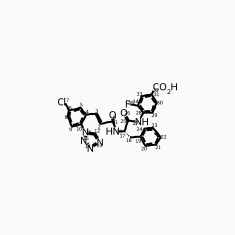 O=C(/C=C/c1cc(Cl)ccc1-n1cnnn1)N[C@@H](Cc1ccccc1)C(=O)Nc1ccc(C(=O)O)cc1F